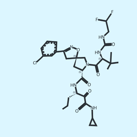 CCC[C@H](NC(=O)[C@@H]1C[C@]2(CC(c3cccc(Cl)c3)=NO2)CN1C(=O)[C@@H](NC(=O)NCC(F)F)C(C)(C)C)C(=O)C(=O)NC1CC1